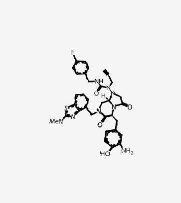 C#CCN(C(=O)NCc1ccc(F)cc1)N1CC(=O)N2[C@@H](Cc3ccc(O)c(N)c3)C(=O)N(Cc3cccc4sc(NC)nc34)C[C@@H]21